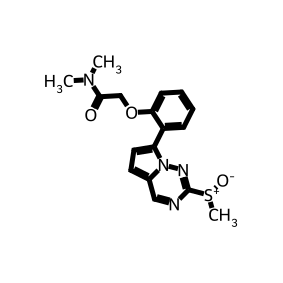 CN(C)C(=O)COc1ccccc1-c1ccc2cnc([S+](C)[O-])nn12